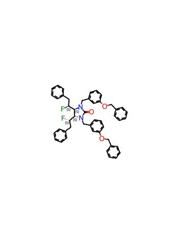 O=C1N(Cc2cccc(OCc3ccccc3)c2)[C@H]([C@@H](F)Cc2ccccc2)[C@@H]([C@@H](F)Cc2ccccc2)N1Cc1cccc(OCc2ccccc2)c1